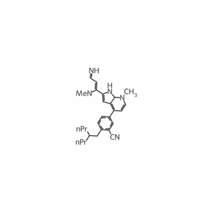 CCCC(CCC)Cc1ccc(C2=C3C=C(/C(=C/C=N)NC)NC3N(C)C=C2)cc1C#N